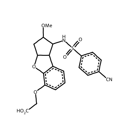 COC1CC2Oc3c(OCC(=O)O)cccc3C2C1NS(=O)(=O)c1ccc(C#N)cc1